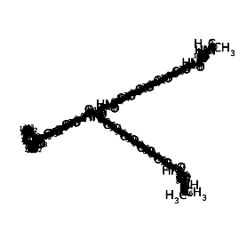 CC(C)=NNc1ccc(C(=O)NCCOCCOCCOCCOCCOCCOCCOCCOCCC(=O)NCCCC[C@H](NC(=O)CCOCCOCCOCCOCCOCCOCCOCCOCCNC(=O)c2ccc(NN=C(C)C)nc2)C(=O)NCCCOCCOCCOCCOCCC(=O)N2Cc3ccccc3C#Cc3ccccc32)cn1